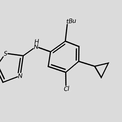 CC(C)(C)c1cc(C2CC2)c(Cl)cc1Nc1nccs1